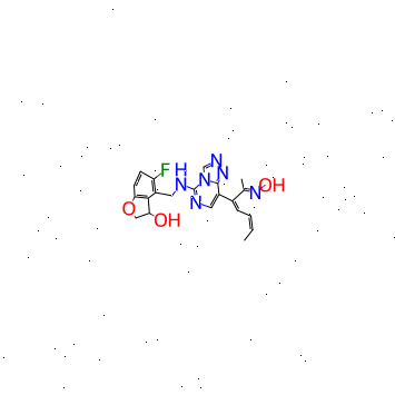 C\C=C/C=C(\C(C)=N\O)c1cnc(NCc2c(F)ccc3c2C(O)CO3)n2cnnc12